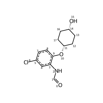 O=CNc1cc(Cl)ccc1O[C@H]1CC[C@@H](O)CC1